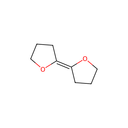 C1CO/C(=C2\CCCO2)C1